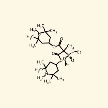 CCOP(=O)(OCC)C(C)(C(=O)OC1CC(C)(C)N(C)C(C)(C)C1)C(=O)OC1CC(C)(C)N(C)C(C)(C)C1